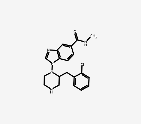 CNC(=O)c1ccc2c(c1)ncn2N1CCNCC1Cc1ccccc1Cl